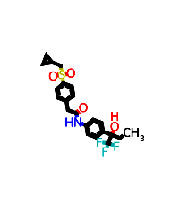 CCC(O)(c1ccc(NC(=O)Cc2ccc(S(=O)(=O)CC3CC3)cc2)cc1)C(F)(F)F